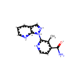 Cc1c(C(N)=O)ccnc1-n1ncc2cccnc21